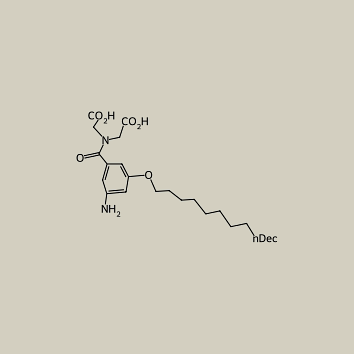 CCCCCCCCCCCCCCCCCCOc1cc(N)cc(C(=O)N(CC(=O)O)CC(=O)O)c1